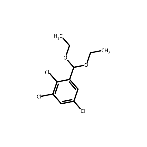 CCOC(OCC)c1cc(Cl)cc(Cl)c1Cl